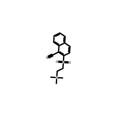 C[Si](C)(C)CCS(=O)(=O)c1ccc2ccccc2c1C#N